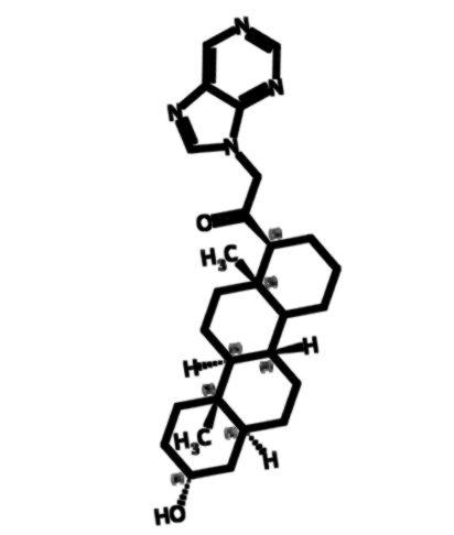 C[C@]12CC[C@@H](O)C[C@@H]1CC[C@H]1C3CCC[C@H](C(=O)Cn4cnc5cncnc54)[C@@]3(C)CC[C@@H]12